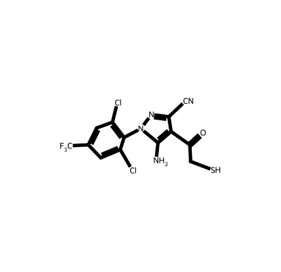 N#Cc1nn(-c2c(Cl)cc(C(F)(F)F)cc2Cl)c(N)c1C(=O)CS